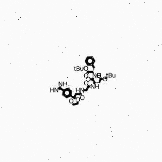 CC(C)(C)OC(=O)C[C@H](NC(=O)CNC(=O)CC1(c2ccc(C(=N)N)cc2)OCCO1)C(=O)N[C@@H](Cc1ccccc1)C(=O)OC(C)(C)C